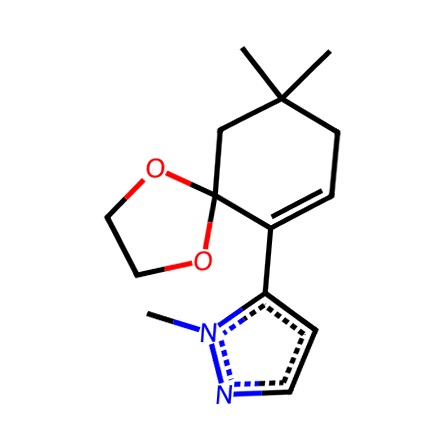 Cn1nccc1C1=CCC(C)(C)CC12OCCO2